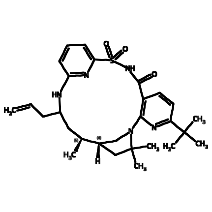 C=CCC1C[C@H](C)[C@@H]2CN(c3nc(C(C)(C)C)ccc3C(=O)NS(=O)(=O)c3cccc(n3)N1)C(C)(C)C2